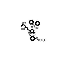 C=C(CCCC)C[C@H](O)C=C[C@@H]1[C@H]2Oc3cccc(OCC(=O)O)c3O[C@H]2C[C@H]1O[Si](c1ccccc1)(c1ccccc1)C(C)(C)C